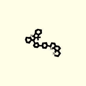 CC1(C)c2ccccc2-c2nc3ccccc3c(-c3cccc(-c4ccc(-c5ccc6ccc7cccnc7c6n5)cc4)c3)c21